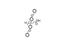 CC(CCC(=O)O)(c1ccc(OCc2ccccc2)cc1)c1ccc(OCc2ccccc2)cc1